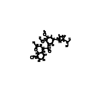 COc1cc(-n2cnc(C(C)C)n2)cc(C(=O)N2C[C@H](C)Oc3c(Cl)cccc32)c1OC